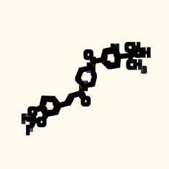 CC(C)(O)c1ccc(C(=O)N2CCN(C(=O)/C=C/c3ccc4c(c3)OC(F)(F)O4)CC2)cn1